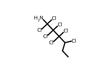 CCC(Cl)C(Cl)(Cl)C(Cl)(Cl)C(N)(Cl)Cl